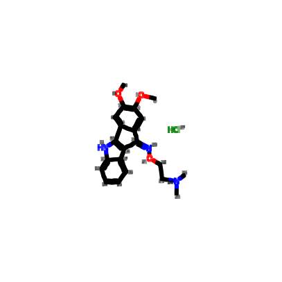 COc1cc2c(cc1OC)-c1[nH]c3ccccc3c1C2=NOCCN(C)C.Cl